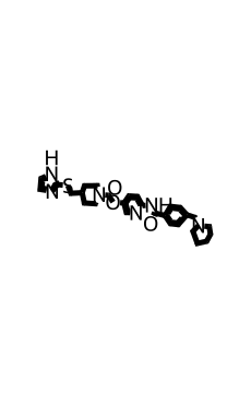 O=C(Nc1ccc(OC(=O)N2CCC(CSc3ncc[nH]3)CC2)cn1)c1ccc(CN2CCCCC2)cc1